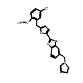 CCCCOc1ccc(Cl)cc1Cc1ccc(-c2nc3ccc(CN4CCCC4)cc3[nH]2)o1